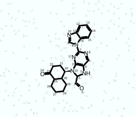 O=CC1Nc2cnc(-n3cnc4ccccc43)nc2N1[C@@H]1CCC(=O)C2CCCCC21